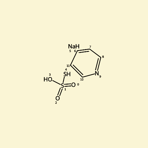 O=S(=O)(O)S.[NaH].c1ccncc1